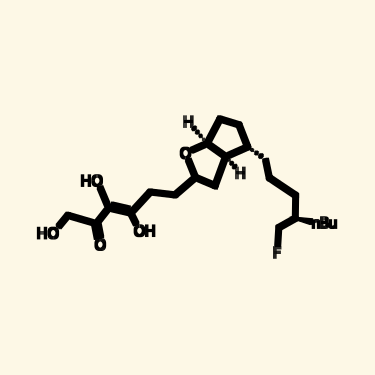 CCCC[C@@H](CF)CCC[C@H]1CC[C@@H]2OC(CCC(O)=C(O)C(=O)CO)C[C@H]12